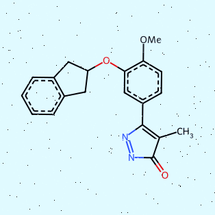 COc1ccc(C2=C(C)C(=O)N=N2)cc1OC1Cc2ccccc2C1